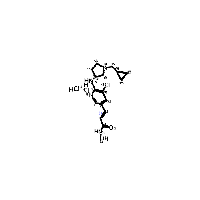 Cl.Cl.O=C(/C=C/c1cnc(N[C@@H]2CCN(CC3CC3)C2)c(Cl)c1)NO